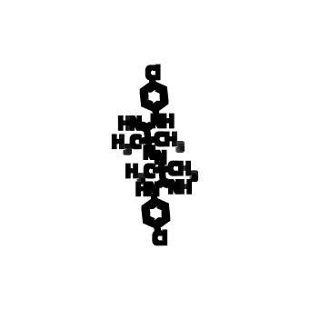 CC(C)(/N=N/C(C)(C)C(=N)Nc1ccc(Cl)cc1)C(=N)Nc1ccc(Cl)cc1